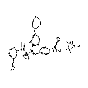 N#Cc1cccc(NC(=O)N(Cc2ccc(C(=O)Nc3nn[nH]n3)cc2)c2ccc(C3CCCCC3)cc2)c1